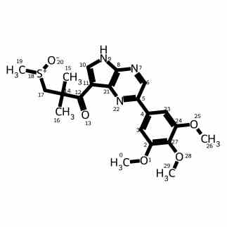 COc1cc(-c2cnc3[nH]cc(C(=O)C(C)(C)C[S+](C)[O-])c3n2)cc(OC)c1OC